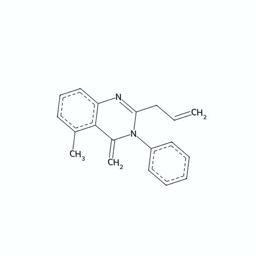 C=CCC1=Nc2cccc(C)c2C(=C)N1c1ccccc1